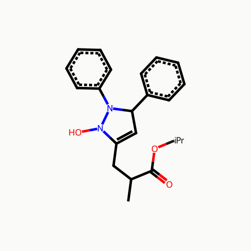 CC(C)OC(=O)C(C)CC1=CC(c2ccccc2)N(c2ccccc2)N1O